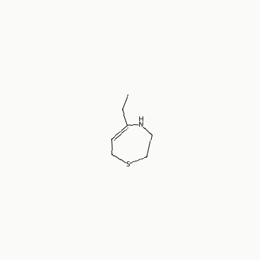 CCC1=CCSCCN1